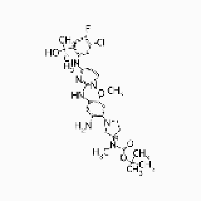 COc1cc(N2CC[C@@H](N(C)C(=O)OC(C)(C)C)C2)c(N)cc1Nc1nccc(Nc2cc(Cl)c(F)cc2C(C)(C)O)n1